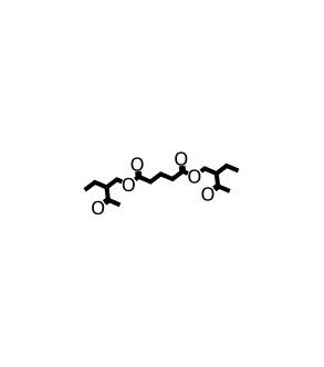 CCC(COC(=O)CCCC(=O)OCC(CC)C(C)=O)C(C)=O